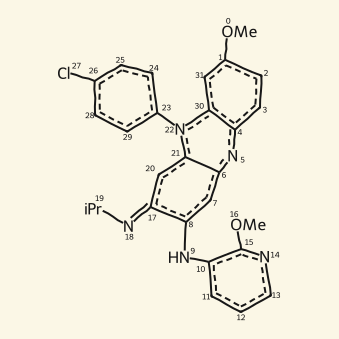 COc1ccc2nc3cc(Nc4cccnc4OC)/c(=N/C(C)C)cc-3n(-c3ccc(Cl)cc3)c2c1